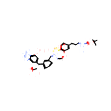 COc1cc([C@@H](CC(=O)O)c2cccc(CN3C[C@@H](C)Oc4cc(CCCNC(=O)OC(C)(C)C)ccc4S3(O)O)c2)cc2nnn(C)c12